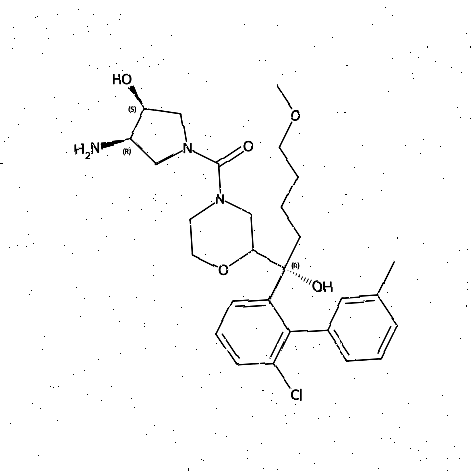 COCCCC[C@@](O)(c1cccc(Cl)c1-c1cccc(C)c1)C1CN(C(=O)N2C[C@@H](N)[C@@H](O)C2)CCO1